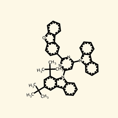 CC(C)(C)c1cc(C(C)(C)C)c2c(c1)c1ccccc1n2-c1cc(-n2c3ccccc3c3ccccc32)nc(-c2ccc3oc4ccccc4c3c2)n1